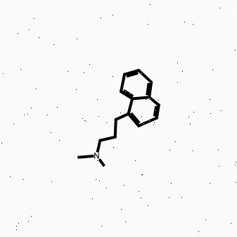 CN(C)CCCc1cccc2ccccc12